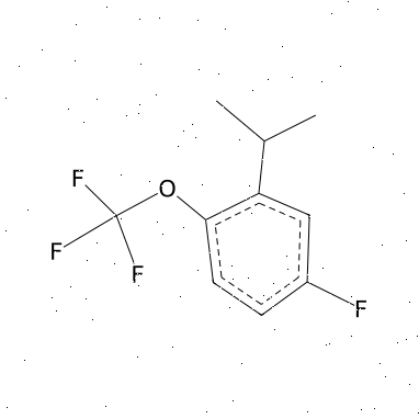 CC(C)c1cc(F)ccc1OC(F)(F)F